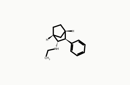 CCN[C@@H]1[C@@H]2CC[C@@H](C2)[C@H]1c1ccccc1